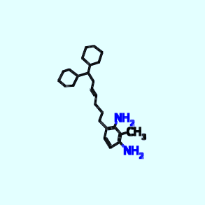 Cc1c(N)ccc(CCCC=CCC(C2CCCCC2)C2CCCCC2)c1N